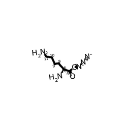 [N-]=[N+]=NOC(=O)[C@@H](N)CCCCN